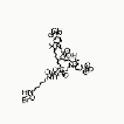 CC1(C)C(=CC=CC(=CC=CC2=[N+](CCS(=O)(=O)O)c3ccc(S(=O)(=O)[O-])cc3C2(C)C)CCCOCC(=O)NCCCCCCNC(=O)CBr)N(CCS(=O)(=O)O)c2ccc(S(=O)(=O)O)cc21